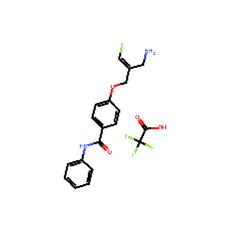 NCC(=CF)COc1ccc(C(=O)Nc2ccccc2)cc1.O=C(O)C(F)(F)F